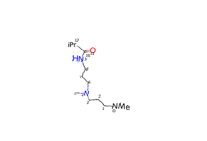 CNCCCN(C)CCCNC(=O)C(C)C